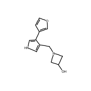 OC1CN(Cc2c[nH]cc2-c2ccoc2)C1